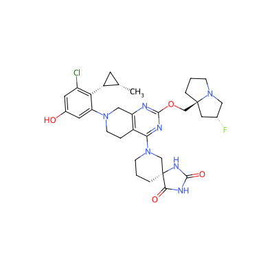 C[C@H]1C[C@H]1c1c(Cl)cc(O)cc1N1CCc2c(nc(OC[C@@]34CCCN3C[C@H](F)C4)nc2N2CCC[C@]3(C2)NC(=O)NC3=O)C1